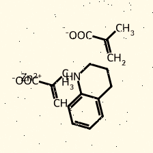 C=C(C)C(=O)[O-].C=C(C)C(=O)[O-].[Zn+2].c1ccc2c(c1)CCCN2